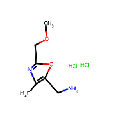 COCc1nc(C)c(CN)o1.Cl.Cl